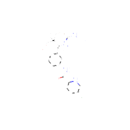 C[C@]12N=C(N)SC[C@H]1COc1ccc(NC(=O)c3ccc(Cl)cn3)cc12